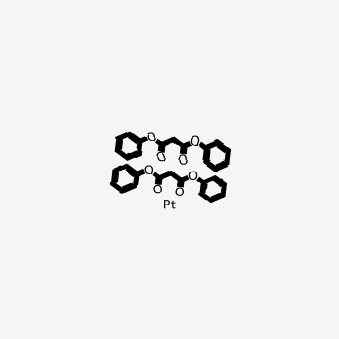 O=C(CC(=O)Oc1ccccc1)Oc1ccccc1.O=C(CC(=O)Oc1ccccc1)Oc1ccccc1.[Pt]